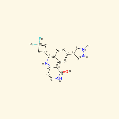 CN1CC(c2ccc3c(C4CC(F)(F)C4)nc4cc[nH]c(=O)c4c3c2)C=N1